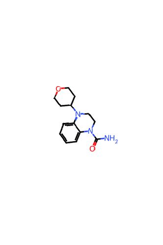 NC(=O)N1CCN(C2CCOCC2)c2ccccc21